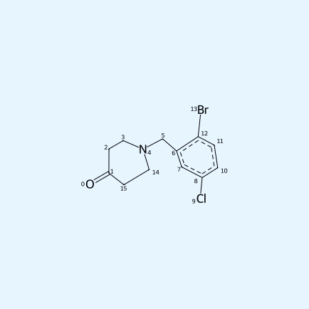 O=C1CCN(Cc2cc(Cl)ccc2Br)CC1